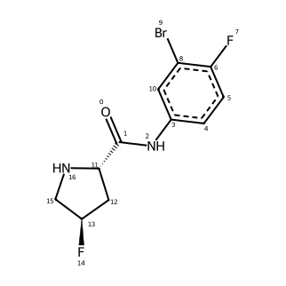 O=C(Nc1ccc(F)c(Br)c1)[C@@H]1C[C@@H](F)CN1